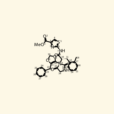 COC(=O)c1csc(NC(=O)[C@H](Cc2ccccc2C)[N+]2(C3=C(Cc4ccccc4)OCO3)C(=O)CNC2=O)n1